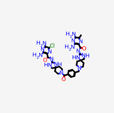 Cc1nc(C(=O)/N=C2\NCC3(CCN(Cc4ccc(C(=O)N5CCC6(CC5)CN/C(=N\C(=O)c5nc(Cl)c(N)nc5N)N6)cc4)CC3)N2)c(N)nc1N